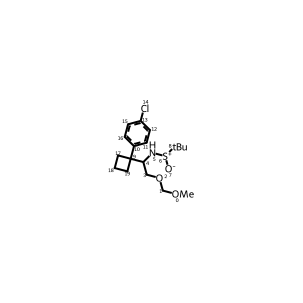 COCOCC(N[S+]([O-])C(C)(C)C)C1(c2ccc(Cl)cc2)CCC1